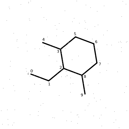 [CH2]CC1C(C)CCCC1C